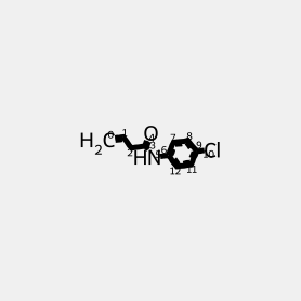 C=CCC(=O)Nc1ccc(Cl)cc1